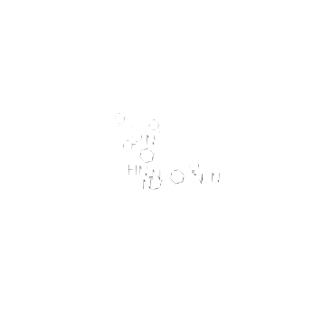 Cc1cnc(Nc2ccc(N3CCOCC3)c(C(=O)OC3CCOCC3)c2)nc1-c1ccc(C(=O)N(C)C#N)cc1